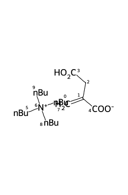 C=C(CC(=O)O)C(=O)[O-].CCCC[N+](CCCC)(CCCC)CCCC